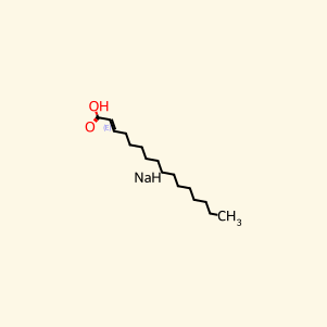 CCCCCCCCCCCCC/C=C/C(=O)O.[NaH]